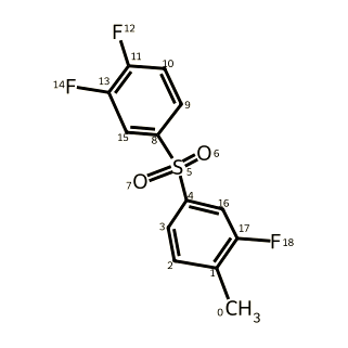 Cc1ccc(S(=O)(=O)c2ccc(F)c(F)c2)cc1F